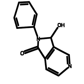 O=C1c2ccncc2C(O)N1c1ccccc1